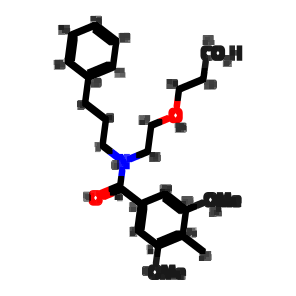 COc1cc(C(=O)N(CCCc2ccccc2)CCOCCC(=O)O)cc(OC)c1C